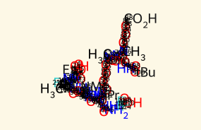 CC[C@@]1(O)C(=O)OCc2c1cc1n(c2=O)Cc2c-1nc1cc(F)c(C)c3c1c2[C@@H](NC(=O)OCc1ccc(NC(=O)[C@H](CCCNC(N)=O)NC(=O)[C@@H](NC(=O)CCOCCOCCOCCN(C)C(=O)CN(CC(=O)N(C)CCOCCOCCOCCC(=O)O)C(=O)CCOCCNC(=O)OC(C)(C)C)C(C)C)cc1CNC)CC3.O=C(O)C(F)(F)F